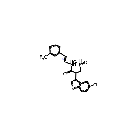 O=C(N/C=C/c1cccc(C(F)(F)F)c1)C(C[PH](=O)O)c1csc2ccc(Cl)cc12